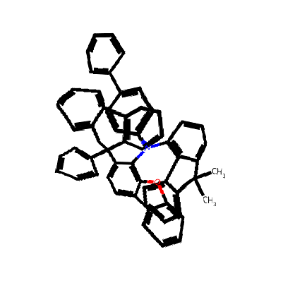 CC1(C)c2ccccc2-c2c(N(c3ccc(-c4ccccc4)cc3)c3c(C4(c5ccccc5)C5=C(CCC=C5)c5ccccc54)ccc4c3oc3ccccc34)cccc21